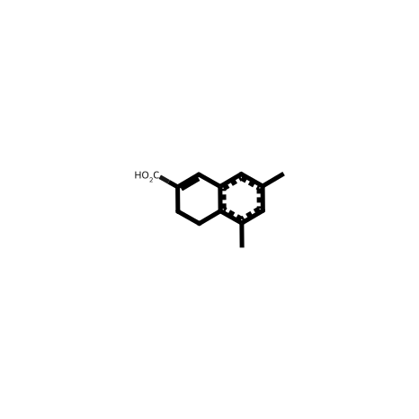 Cc1cc(C)c2c(c1)C=C(C(=O)O)CC2